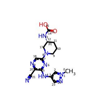 Cn1cc(Nc2nc(N3CCC[C@@H](NC(=O)O)C3)cnc2C#N)cn1